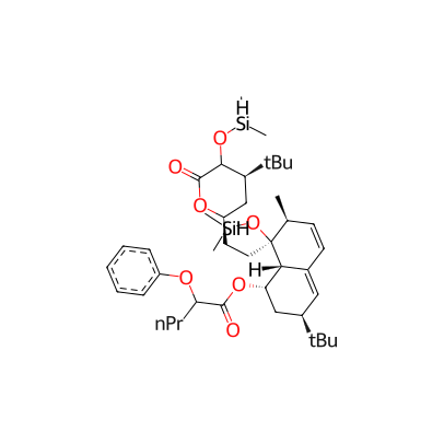 CCCC(Oc1ccccc1)C(=O)O[C@H]1C[C@H](C(C)(C)C)C=C2C=C[C@H](C)[C@](CC[C@@H]3C[C@H](C(C)(C)C)C(O[SiH](C)C)C(=O)O3)(O[SiH](C)C)[C@H]21